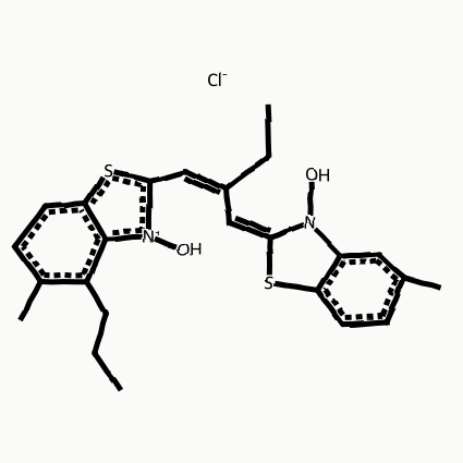 CCCc1c(C)ccc2sc(C=C(C=C3Sc4ccc(C)cc4N3O)CC)[n+](O)c12.[Cl-]